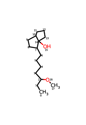 CCC(CCCCC1CCC2CCCC12O)OC